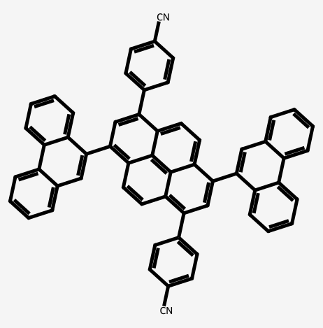 N#Cc1ccc(-c2cc(-c3cc4ccccc4c4ccccc34)c3ccc4c(-c5ccc(C#N)cc5)cc(-c5cc6ccccc6c6ccccc56)c5ccc2c3c45)cc1